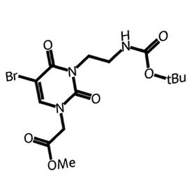 COC(=O)Cn1cc(Br)c(=O)n(CCNC(=O)OC(C)(C)C)c1=O